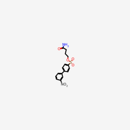 NC(=O)CCCOS(=O)(=O)c1ccc(-c2cccc([N+](=O)[O-])c2)cc1